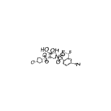 N#Cc1ccc(S(=O)(=O)N2C[C@H](S(=O)(=O)c3ccc(Cl)cc3)[C@](O)(CO)C2)c(C(F)F)c1